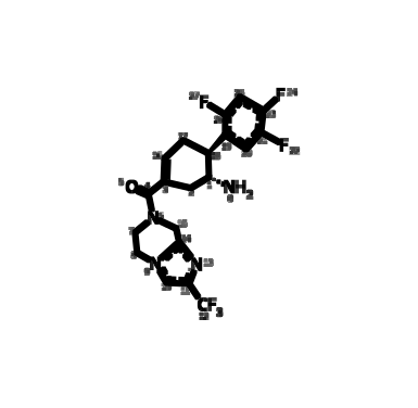 N[C@@H]1CC(C(=O)N2CCn3cc(C(F)(F)F)nc3C2)=CC[C@H]1c1cc(F)c(F)cc1F